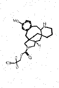 O=C(OCC(Cl)(Cl)Cl)N1C[C@H]2CC34CCCNC3Cc3ccc(O)cc3CC2C1CC4